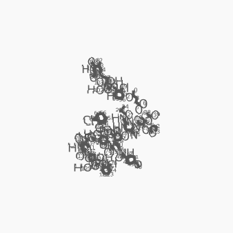 CC(=O)CCC(=O)OC[C@H]1O[C@@H](n2cnc3c(=O)[nH]c(NC(=O)C(C)C)nc32)[C@H](OC2CCCO2)[C@@H]1OC(C)=O.COc1ccc(C(=O)Nc2ccn([C@@H]3O[C@H](CO)[C@](O)([PH](=O)Oc4ccccc4Cl)[C@H]3OC3CCCO3)c(=O)n2)cc1.Cc1cn([C@H]2C[C@@](O)([PH](=O)Oc3ccccc3Cl)[C@@H](CO)O2)c(=O)[nH]c1=O.Cc1cn([C@H]2C[C@@](O)([PH](=O)Oc3ccccc3Cl)[C@@H](CO)O2)c(=O)[nH]c1=O